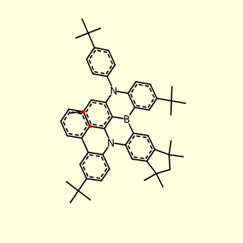 Cc1cc2c3c(c1)N(c1ccc(C(C)(C)C)cc1-c1ccccc1)c1cc4c(cc1B3c1cc(C(C)(C)C)ccc1N2c1ccc(C(C)(C)C)cc1)C(C)(C)CC4(C)C